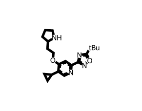 CC(C)(C)c1nc(-c2cc(OCCC3CCCN3)c(C3CC3)cn2)no1